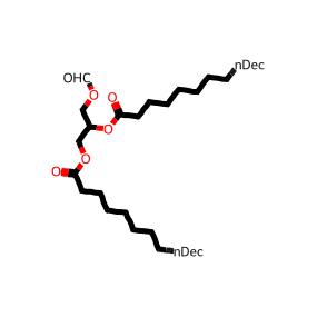 CCCCCCCCCCCCCCCCCC(=O)OCC(COC=O)OC(=O)CCCCCCCCCCCCCCCCC